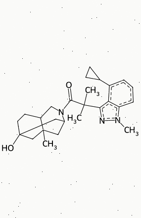 Cn1nc(C(C)(C)C(=O)N2CC3CCC4(O)CC2CC3(C)C4)c2c(C3CC3)cccc21